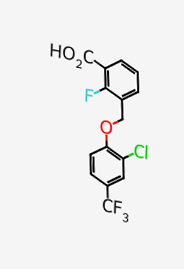 O=C(O)c1cccc(COc2ccc(C(F)(F)F)cc2Cl)c1F